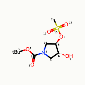 CC(C)(C)OC(=O)N1C[C@@H](O)[C@H](OS(C)(=O)=O)C1